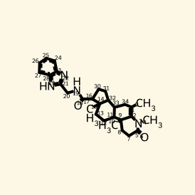 CC1=C2N(C)C(=O)CCC2(C)C2CCC3(C)C(C(=O)NCc4nc5ccccc5[nH]4)CCC3C2C1